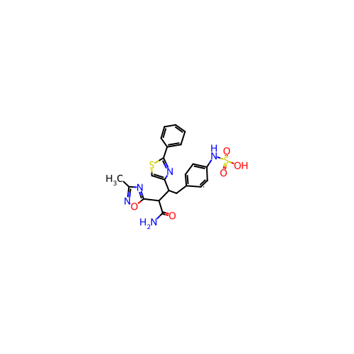 Cc1noc(C(C(N)=O)C(Cc2[c]cc(NS(=O)(=O)O)cc2)c2csc(-c3ccccc3)n2)n1